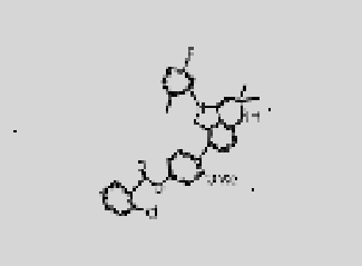 COc1cc(OC(=O)c2ccccc2Cl)ccc1-c1ccc2c3c1CN(c1cc(F)ccc1C)C3=CC(C)(C)N2